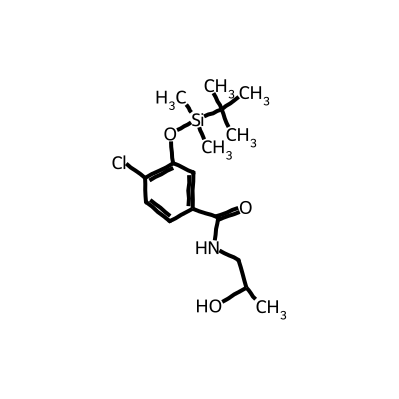 CC(O)CNC(=O)c1ccc(Cl)c(O[Si](C)(C)C(C)(C)C)c1